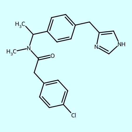 CC(c1ccc(Cc2c[nH]cn2)cc1)N(C)C(=O)Cc1ccc(Cl)cc1